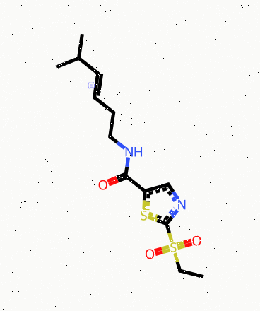 CCS(=O)(=O)c1ncc(C(=O)NCC/C=C/C(C)C)s1